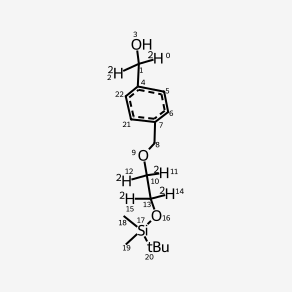 [2H]C([2H])(O)c1ccc(COC([2H])([2H])C([2H])([2H])O[Si](C)(C)C(C)(C)C)cc1